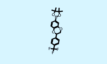 CC1(C)OB(c2ccc3c(c2)OCC(c2ccc(C(F)(F)F)cc2)O3)OC1(C)C